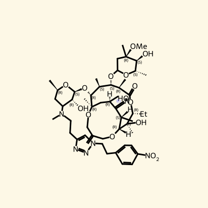 C=C1CO[C@@H]2[C@@H](C)/C(=N/O)[C@H](C)C[C@@](C)(OC1)[C@H](O[C@@H]1O[C@H](C)CC(N(C)CCc3cn(CCc4ccc([N+](=O)[O-])cc4)nn3)[C@H]1O)[C@@H](C)[C@H](OC1C[C@@](C)(OC)[C@@H](O)[C@H](C)O1)[C@@H](C)C(=O)O[C@H](CC)[C@@]2(C)O